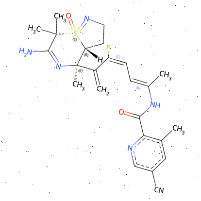 C=C(/C(F)=C\C=C(/C)NC(=O)c1ncc(C#N)cc1C)[C@@]1(C)N=C(N)C(C)(C)[S@]2(=O)=NCC[C@H]12